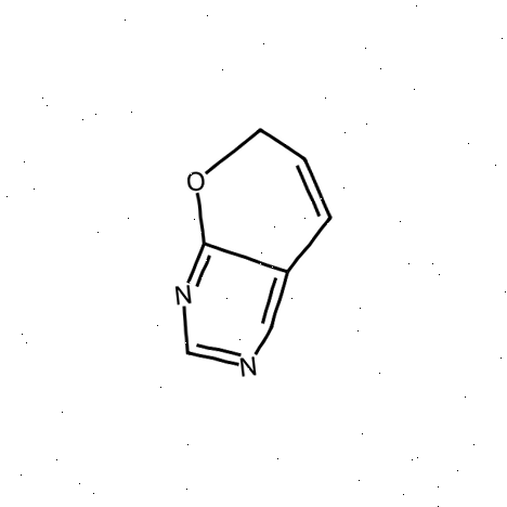 C1=Cc2cncnc2OC1